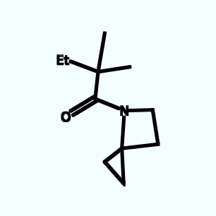 CCC(C)(C)C(=O)N1CCC12CC2